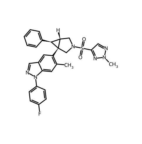 Cc1cc2c(cnn2-c2ccc(F)cc2)cc1[C@]12CN(S(=O)(=O)c3cnn(C)n3)C[C@H]1[C@@H]2c1ccccc1